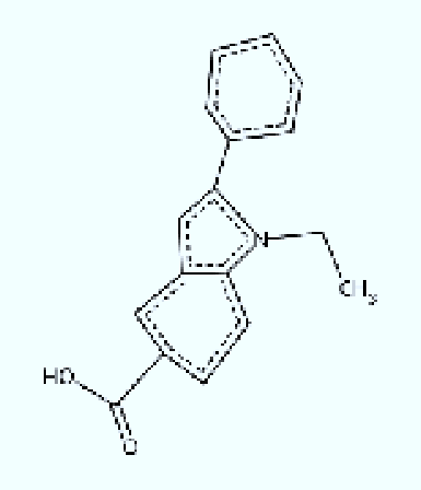 CCn1c(-c2ccccc2)cc2cc(C(=O)O)ccc21